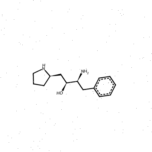 N[C@@H](Cc1ccccc1)[C@@H](O)C[C@H]1CCCN1